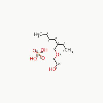 CCCCC(CC)COCCO.O=S(=O)(O)O